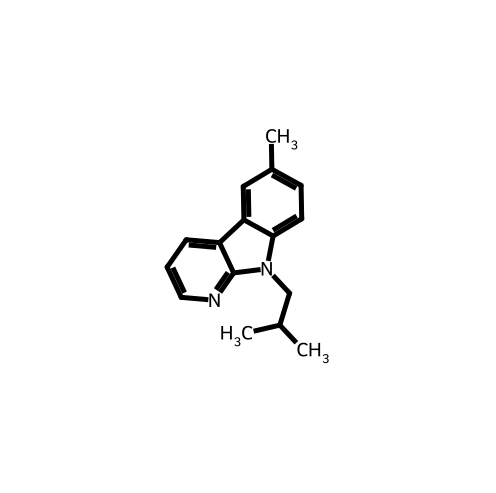 Cc1ccc2c(c1)c1cccnc1n2CC(C)C